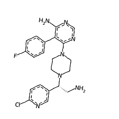 NC[C@H](c1ccc(Cl)nc1)N1CCN(c2ncnc(N)c2-c2ccc(F)cc2)CC1